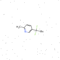 Cc1ccc(C(F)(F)C(C)(C)C)cn1